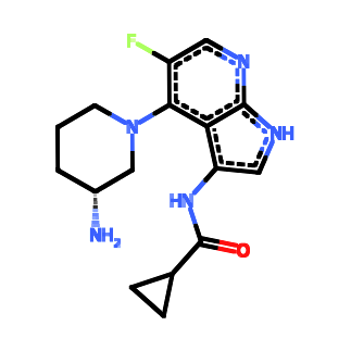 N[C@@H]1CCCN(c2c(F)cnc3[nH]cc(NC(=O)C4CC4)c23)C1